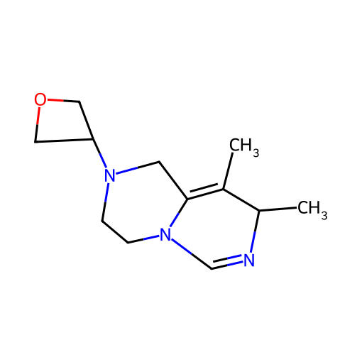 CC1=C2CN(C3COC3)CCN2C=NC1C